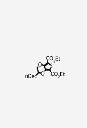 CCCCCCCCCCC1COc2c(C(=O)OCC)sc(C(=O)OCC)c2O1